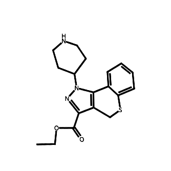 CCOC(=O)c1nn(C2CCNCC2)c2c1CSc1ccccc1-2